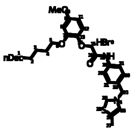 Br.CCCCCCCCCCCCCCOc1cc(OC)ccc1OCC(=O)Nc1ccc(CN2C=C(C)SC2)cc1